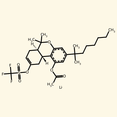 CCCCCCC(C)(C)c1cc(OC(C)=O)c2c(c1)OC(C)(C)[C@@H]1CC=C(OS(=O)(=O)C(F)(F)F)C[C@@H]21.[Li]